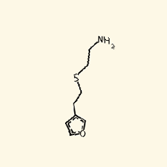 NCCSCCc1ccoc1